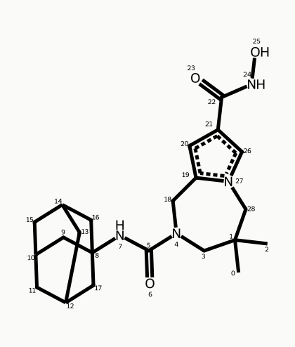 CC1(C)CN(C(=O)NC23CC4CC(CC(C4)C2)C3)Cc2cc(C(=O)NO)cn2C1